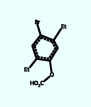 CCc1cc(OC(=O)O)c(CC)cc1Br